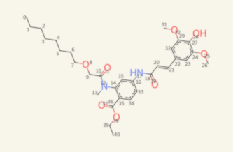 CCCCCCCCOCC(=O)N(C)c1cc(NC(=O)/C=C/c2cc(OC)c(O)c(OC)c2)ccc1C(=O)OCC